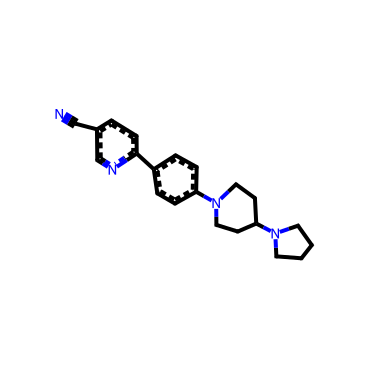 N#Cc1ccc(-c2ccc(N3CCC(N4CCCC4)CC3)cc2)nc1